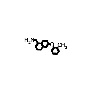 Cc1ccccc1Oc1ccc2c(c1)CCC=C2CN